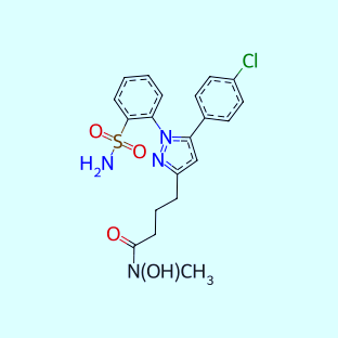 CN(O)C(=O)CCCc1cc(-c2ccc(Cl)cc2)n(-c2ccccc2S(N)(=O)=O)n1